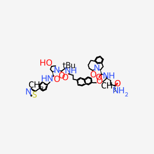 Cc1ncsc1-c1ccc(CNC(=O)[C@H]2C[C@H](O)CN2C(=O)[C@H](NC(=O)CCc2ccc3cc(CO[C@H](C)[C@H](CCC(N)=O)NC(=O)[C@@H]4Cc5cccc6c5N4C(=O)CCC6)ccc3c2)C(C)(C)C)cc1